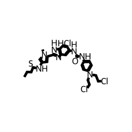 CCCC(=S)Nc1cc(-c2nc3cc(NC(=O)Nc4ccc(N(CCCl)CCCl)cc4)ccc3[nH]2)n(C)c1.Cl